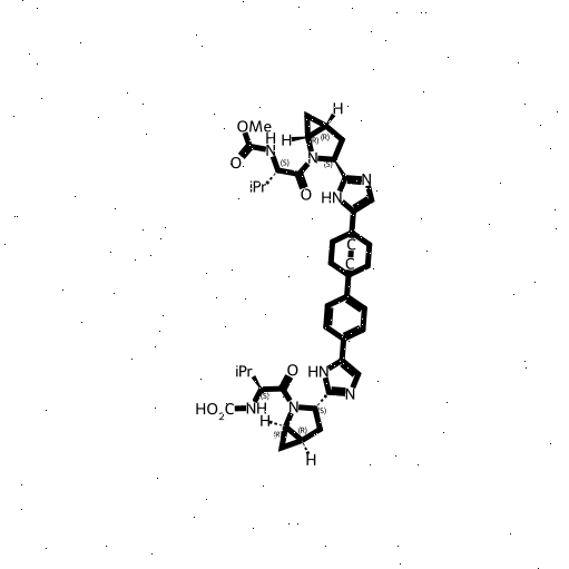 COC(=O)N[C@H](C(=O)N1[C@@H]2C[C@@H]2C[C@H]1c1ncc(C23CCC(c4ccc(-c5cnc([C@@H]6C[C@H]7C[C@H]7N6C(=O)[C@@H](NC(=O)O)C(C)C)[nH]5)cc4)(CC2)CC3)[nH]1)C(C)C